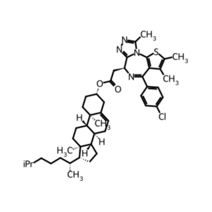 Cc1sc2c(c1C)C(c1ccc(Cl)cc1)=N[C@@H](CC(=O)O[C@H]1CC[C@@]3(C)C(=CC[C@H]4[C@@H]5CC[C@H]([C@H](C)CCCC(C)C)[C@@]5(C)CC[C@@H]43)C1)c1nnc(C)n1-2